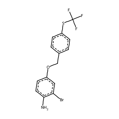 Nc1ccc(OCc2ccc(SC(F)(F)F)cc2)cc1Br